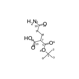 CC(C)(C)OC(=O)C(CCC(N)=O)C(=O)O